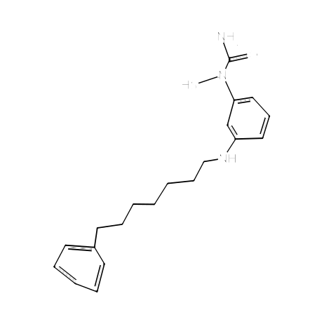 NC(=O)N(S)c1cccc(NCCCCCCCc2ccccc2)c1